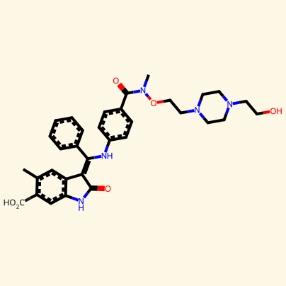 Cc1cc2c(cc1C(=O)O)NC(=O)/C2=C(\Nc1ccc(C(=O)N(C)OCCN2CCN(CCO)CC2)cc1)c1ccccc1